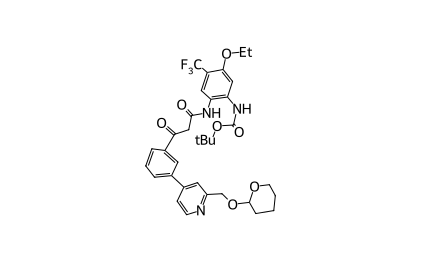 CCOc1cc(NC(=O)OC(C)(C)C)c(NC(=O)CC(=O)c2cccc(-c3ccnc(COC4CCCCO4)c3)c2)cc1C(F)(F)F